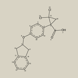 O=C(O)C1(c2ccc(OC3Cc4ccccc4C3)cc2)CC1(Cl)Cl